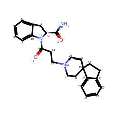 NC(=O)[C@@H]1Cc2ccccc2N1C(=O)CCN1CCC2(CCc3ccccc32)CC1